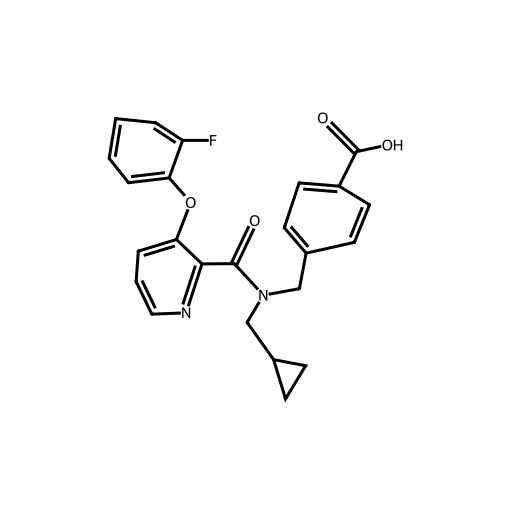 O=C(O)c1ccc(CN(CC2CC2)C(=O)c2ncccc2Oc2ccccc2F)cc1